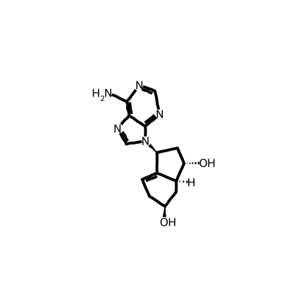 Nc1ncnc2c1ncn2[C@H]1C[C@H](O)[C@H]2C[C@@H](O)CC=C21